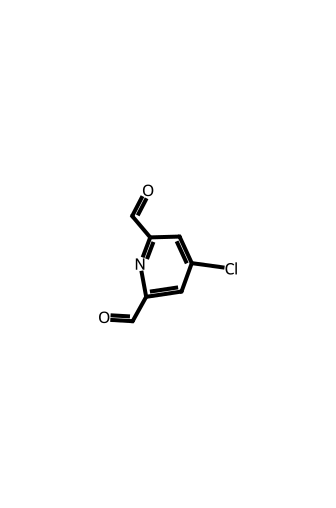 O=Cc1cc(Cl)cc(C=O)n1